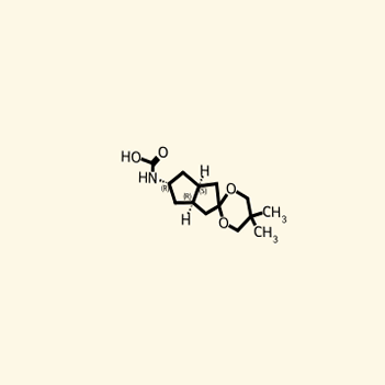 CC1(C)COC2(C[C@H]3C[C@H](NC(=O)O)C[C@H]3C2)OC1